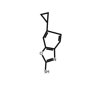 Sc1nc2ccc(C3CC3)cc2o1